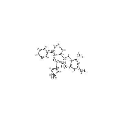 Cc1cc(N)nc(C)c1CC(NC(=O)c1cn[nH]c1)c1cccc(-c2ccccc2)c1